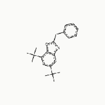 CC(C)(C)c1cc(C(C)(C)C)c2oc(Cc3ccccc3)nc2c1